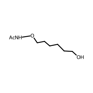 CC(=O)NOCCCCCCO